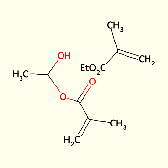 C=C(C)C(=O)OC(C)O.C=C(C)C(=O)OCC